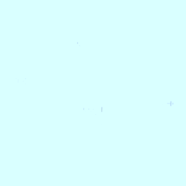 Cc1c(C(=O)O)cc(Cl)cc1C(=O)O.O=Cc1cccc2ccccc12